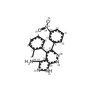 Cc1ccccc1-c1c(-c2cccc([N+](=O)[O-])c2)nnc2[nH]nc(N)c12